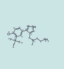 CN(CCN)Cc1c[nH]nc1-c1ccc(Cl)c(C(F)(F)F)c1